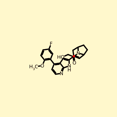 COc1ccc(F)cc1-c1ccnc2[nH]c(C3=CC4CCC(C3)N4C(=O)CO)cc12